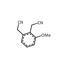 COc1cccc(CC#N)c1CC#N